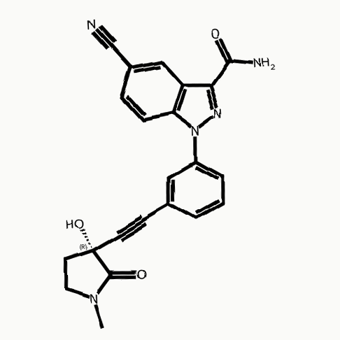 CN1CC[C@@](O)(C#Cc2cccc(-n3nc(C(N)=O)c4cc(C#N)ccc43)c2)C1=O